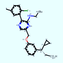 Cc1ccc(F)c(-c2ncc(COc3cccc([C@@H](CC(=O)O)C4CC4)c3)nc2NCC(C)(C)C)c1